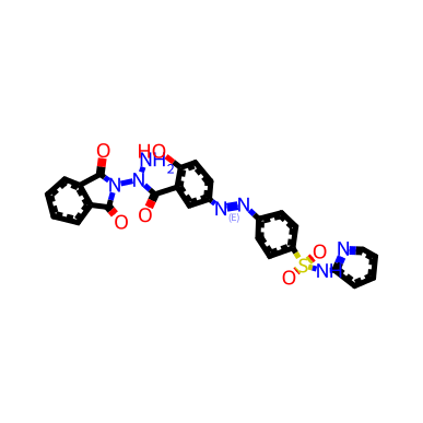 NN(C(=O)c1cc(/N=N/c2ccc(S(=O)(=O)Nc3ccccn3)cc2)ccc1O)N1C(=O)c2ccccc2C1=O